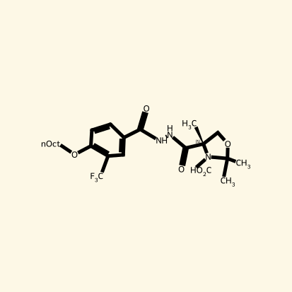 CCCCCCCCOc1ccc(C(=O)NNC(=O)[C@]2(C)COC(C)(C)N2C(=O)O)cc1C(F)(F)F